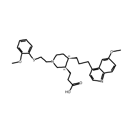 COc1ccc2nccc(CCC[C@@H]3CCN(CCSc4ccccc4OC)C[C@@H]3CCC(=O)O)c2c1